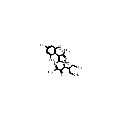 CCC(CC)C1C(=O)C(C)=NC2=C(c3c(C)cc(C)cc3C)C(C)=N[N+]21[O-]